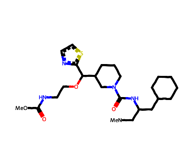 CNCC(CC1CCCCC1)NC(=O)N1CCCC(C(OCCNC(=O)OC)c2nccs2)C1